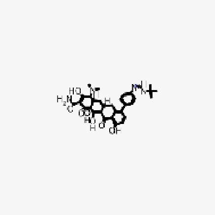 CN(C)C1C(O)=C(C(N)=O)C(=O)[C@@]2(O)C(O)=C3C(=O)c4c(O)ccc(-c5ccc(/N=C\NC(C)(C)C)cc5)c4C[C@H]3C[C@@H]12